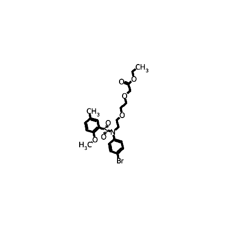 CCOC(=O)COCCOCCN(c1ccc(Br)cc1)S(=O)(=O)c1cc(C)ccc1OC